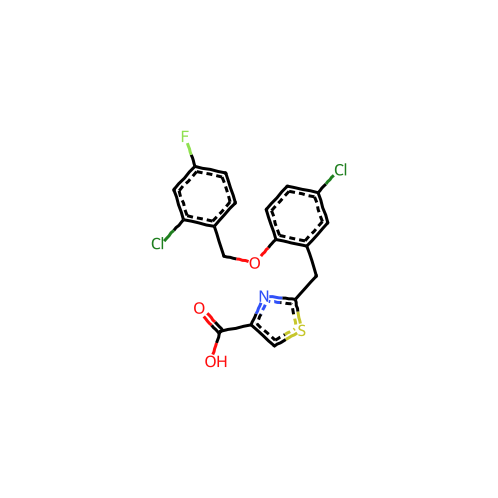 O=C(O)c1csc(Cc2cc(Cl)ccc2OCc2ccc(F)cc2Cl)n1